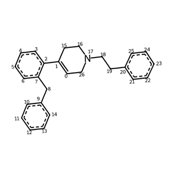 C1=C(c2ccccc2Cc2ccccc2)CCN(CCc2ccccc2)C1